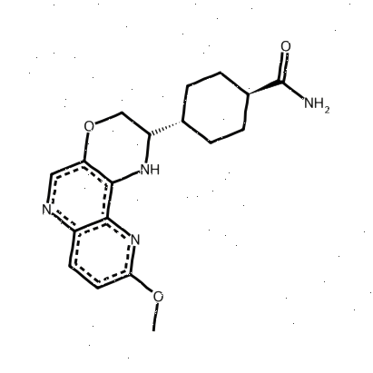 COc1ccc2ncc3c(c2n1)NC([C@H]1CC[C@H](C(N)=O)CC1)CO3